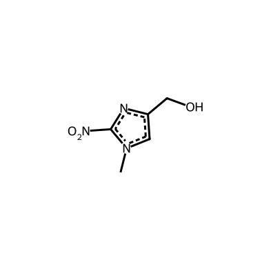 Cn1cc(CO)nc1[N+](=O)[O-]